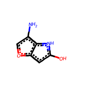 Nc1coc2cc(O)[nH]c12